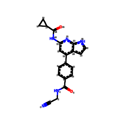 N#CCNC(=O)c1ccc(-c2cc(NC(=O)C3CC3)nc3[nH]ccc23)cc1